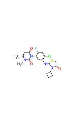 Cn1c(C(F)(F)F)cc(=O)n(-c2cc(/N=C3\SCC(=O)N3C3CCC3)c(Cl)cc2F)c1=O